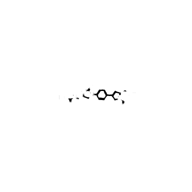 CC(=O)NC[C@H]1CN(c2ccc(C3=C[C@@H](CO)N(C=O)C3)cc2)C(=O)O1